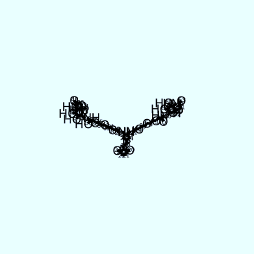 O=C(COCCOCCOCCNC1CN(CCN2C(=O)C=CC2=O)CC1NCCOCCOCCOCC(O)NCC1O[C@@H]2OCC(=O)N[C@@H]2C(O)C1O)NCC1O[C@@H]2OCC(=O)NC2C(O)C1O